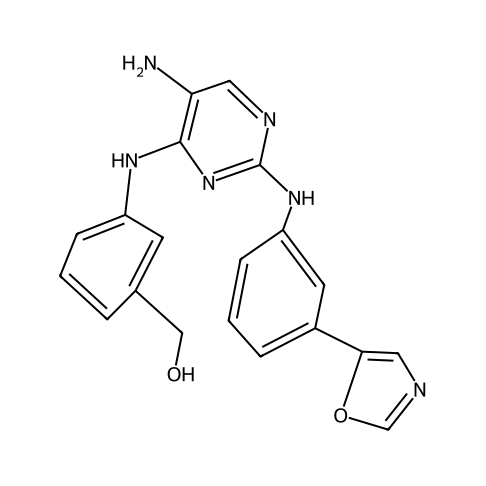 Nc1cnc(Nc2cccc(-c3cnco3)c2)nc1Nc1cccc(CO)c1